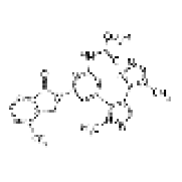 Cn1cnnc1-c1cnn(C)c1-c1cc(NC(=O)C(=O)O)nc(N2Cc3c(cccc3C(F)(F)F)C2=O)c1